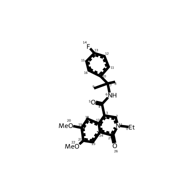 CCn1cc(C(=O)NC(C)(C)c2ccc(F)cc2)c2cc(OC)c(OC)cc2c1=O